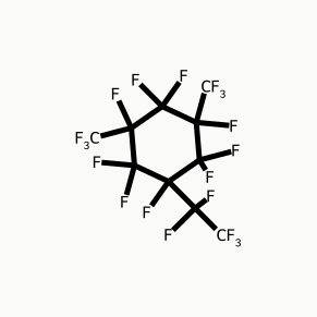 FC(F)(F)C(F)(F)C1(F)C(F)(F)C(F)(C(F)(F)F)C(F)(F)C(F)(C(F)(F)F)C1(F)F